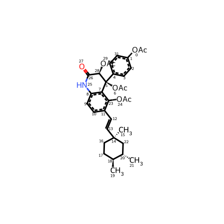 CC(=O)Oc1ccc([C@]2(OC(C)=O)c3c(ccc(/C=C/[C@]4(C)CC[C@H](C)[C@@H](C)C4)c3OC(C)=O)NC(=O)[C@H]2OC(C)=O)cc1